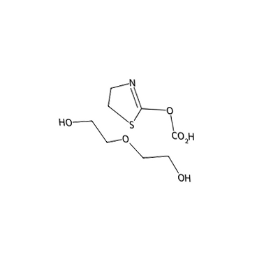 O=C(O)OC1=NCCS1.OCCOCCO